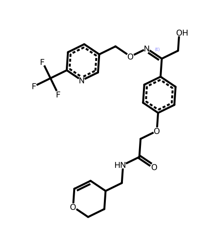 O=C(COc1ccc(/C(CO)=N\OCc2ccc(C(F)(F)F)nc2)cc1)NCC1C=COCC1